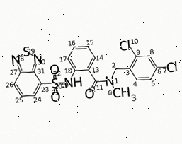 CN(Cc1ccc(Cl)cc1Cl)C(=O)c1ccccc1NS(=O)(=O)c1cccc2nsnc12